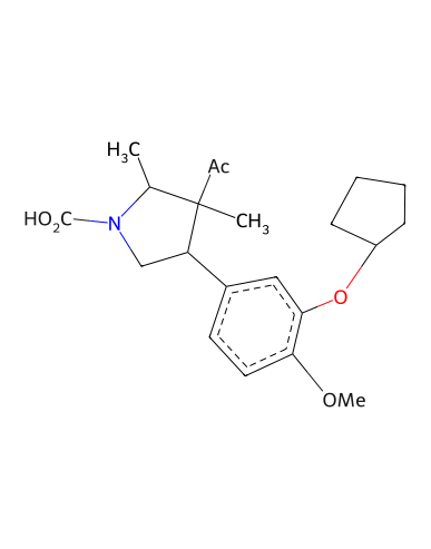 COc1ccc(C2CN(C(=O)O)C(C)C2(C)C(C)=O)cc1OC1CCCC1